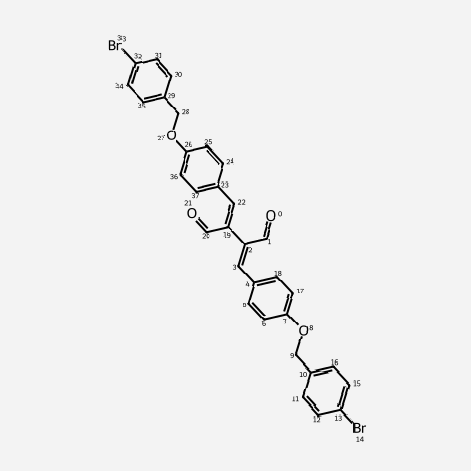 O=CC(=Cc1ccc(OCc2ccc(Br)cc2)cc1)C(C=O)=Cc1ccc(OCc2ccc(Br)cc2)cc1